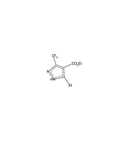 CCOC(=O)c1c(C(F)(F)F)n[nH]c1CC